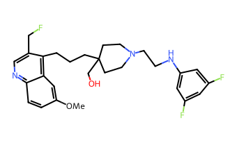 COc1ccc2ncc(CF)c(CCCC3(CO)CCN(CCNc4cc(F)cc(F)c4)CC3)c2c1